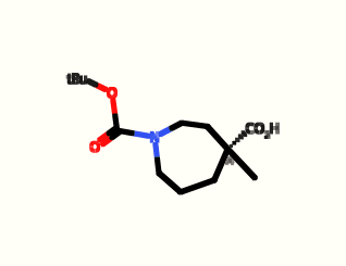 CC(C)(C)OC(=O)N1CCC[C@@](C)(C(=O)O)CC1